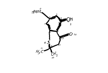 CCCCCc1cc(O)c2c(c1)SC(C)(C)CC2=O